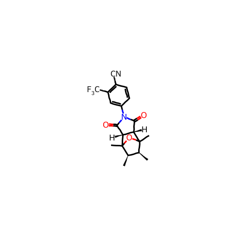 C[C@@H]1[C@H](C)C2(C)OC1(C)[C@@H]1C(=O)N(c3ccc(C#N)c(C(F)(F)F)c3)C(=O)[C@@H]12